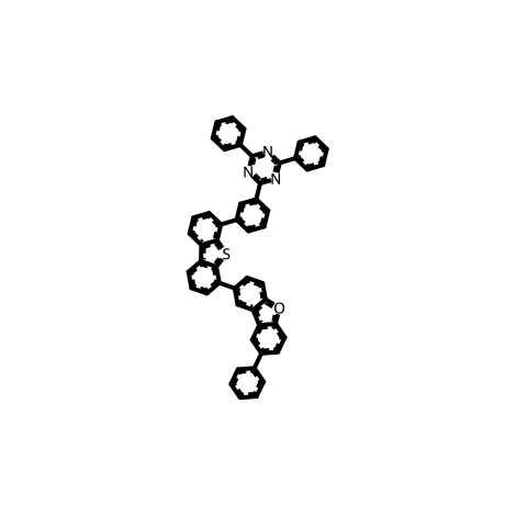 c1ccc(-c2ccc3oc4ccc(-c5cccc6c5sc5c(-c7cccc(-c8nc(-c9ccccc9)nc(-c9ccccc9)n8)c7)cccc56)cc4c3c2)cc1